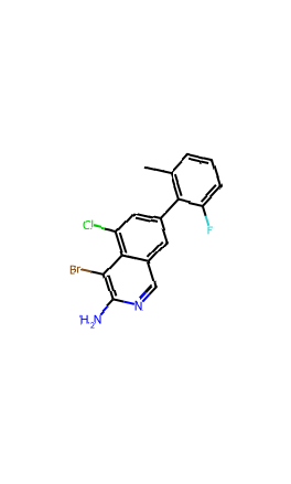 Cc1cccc(F)c1-c1cc(Cl)c2c(Br)c(N)ncc2c1